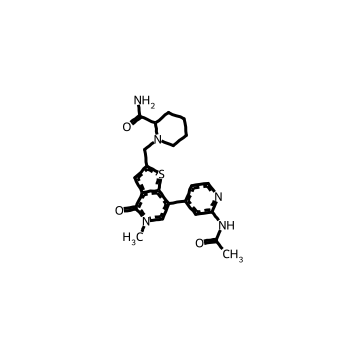 CC(=O)Nc1cc(-c2cn(C)c(=O)c3cc(CN4CCCCC4C(N)=O)sc23)ccn1